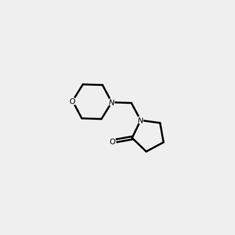 O=C1CCCN1CN1CCOCC1